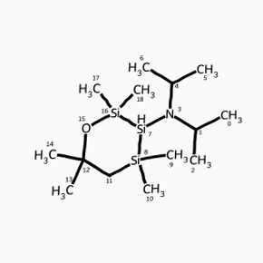 CC(C)N(C(C)C)[SiH]1[Si](C)(C)CC(C)(C)O[Si]1(C)C